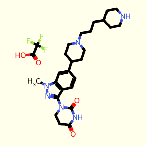 Cn1nc(N2CCC(=O)NC2=O)c2ccc(C3CCN(CCCC4CCNCC4)CC3)cc21.O=C(O)C(F)(F)F